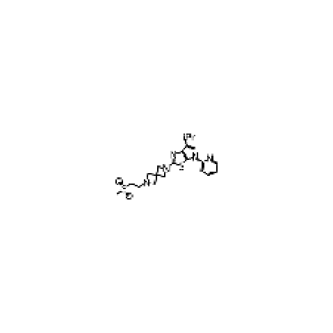 CC(C)c1cn(-c2ccccn2)c2sc(N3CC4(CN(CCS(C)(=O)=O)C4)C3)nc12